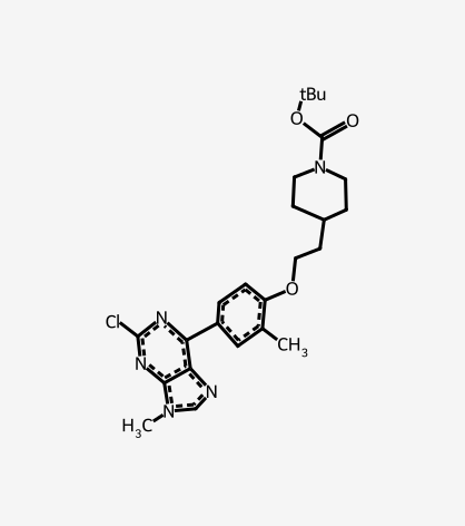 Cc1cc(-c2nc(Cl)nc3c2ncn3C)ccc1OCCC1CCN(C(=O)OC(C)(C)C)CC1